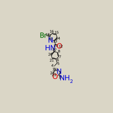 NC1=N[C@@H](CCc2ccc(NC(=O)c3cccc(Br)n3)cc2)CO1